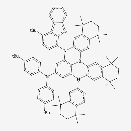 CC(C)(C)c1ccc(N(c2ccc(C(C)(C)C)cc2)c2cc3c4c(c2)N(c2ccc(C(C)(C)C)c5c2sc2ccccc25)c2cc5c(cc2B4c2cc4c(cc2N3c2ccc3c(c2)C(C)(C)CCC3(C)C)C(C)(C)CCC4(C)C)C(C)(C)CCC5(C)C)cc1